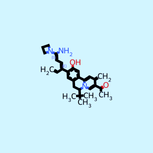 C=C/C(=C\C=C(/N)N1CCC1)c1cc2c(cc1O)C1=CC(=C)C(C(C)=O)=CN1C(C(C)(C)C)C2